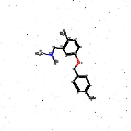 COc1ccc(COc2ccc([N+](=O)[O-])c(CN(C(=O)O)C(C)(C)C)c2)cc1